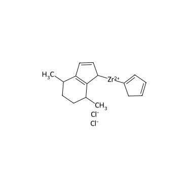 CC1CCC(C)C2=C1C=C[CH]2[Zr+2][C]1=CC=CC1.[Cl-].[Cl-]